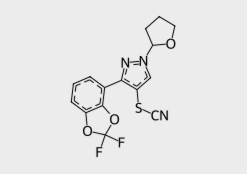 N#CSc1cn(C2CCCO2)nc1-c1cccc2c1OC(F)(F)O2